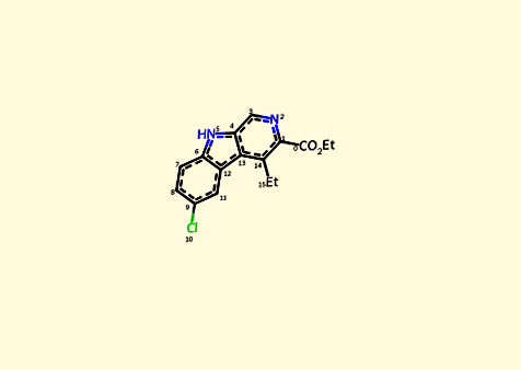 CCOC(=O)c1ncc2[nH]c3ccc(Cl)cc3c2c1CC